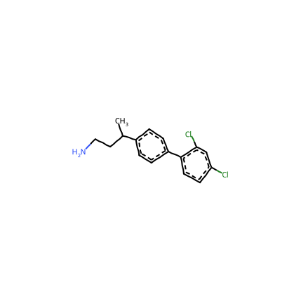 CC(CCN)c1ccc(-c2ccc(Cl)cc2Cl)cc1